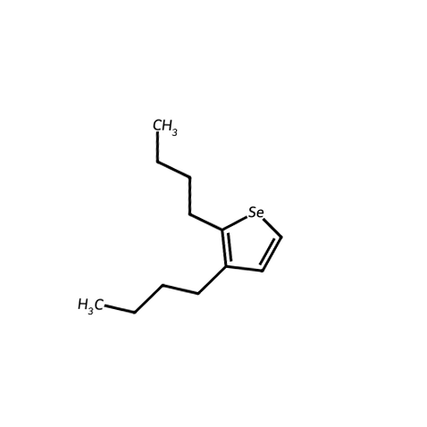 CCCCc1cc[se]c1CCCC